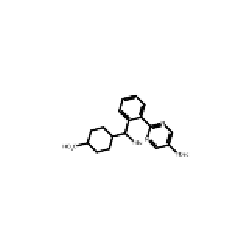 CCCCCCCCCCc1cnc(-c2ccccc2C(CCCC)C2CCC(C(=O)O)CC2)nc1